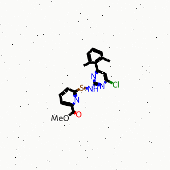 COC(=O)c1cccc(SNc2nc(Cl)cc(-c3c(C)cccc3C)n2)n1